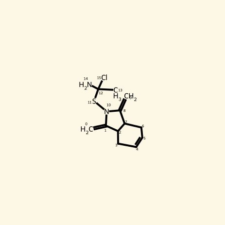 C=C1C2CC=CCC2C(=C)N1SC(C)(N)Cl